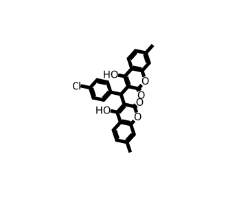 Cc1ccc2c(O)c(C(c3ccc(Cl)cc3)c3c(O)c4ccc(C)cc4oc3=O)c(=O)oc2c1